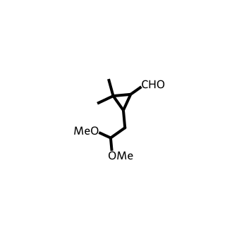 COC(CC1C(C=O)C1(C)C)OC